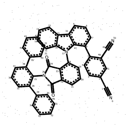 N#Cc1ccc(-c2cccc3c4ccccc4n(-c4cccc5c4C(=O)N(c4c(-c6ccccc6)cccc4-c4ccccc4)C5=O)c23)c(C#N)c1